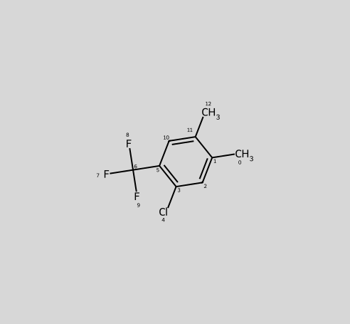 Cc1cc(Cl)c(C(F)(F)F)cc1C